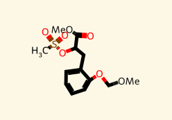 COCOc1ccccc1CC(OS(C)(=O)=O)C(=O)OC